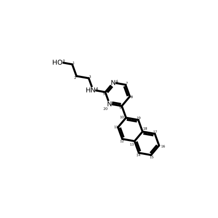 OCCCNc1nccc(-c2ccc3ccccc3c2)n1